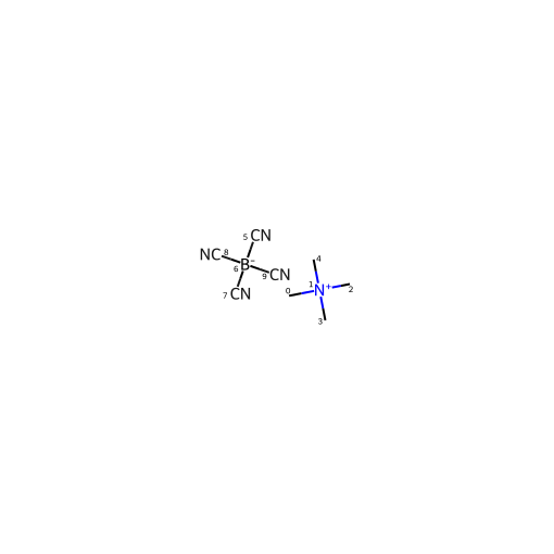 C[N+](C)(C)C.N#C[B-](C#N)(C#N)C#N